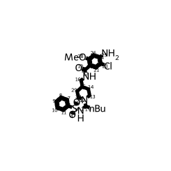 CCCCC(NS(=O)(=O)c1ccccc1)N1CCC(CNC(=O)c2cc(Cl)c(N)cc2OC)CC1